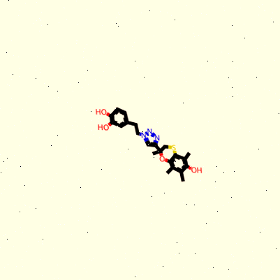 Cc1c(C)c2c(c(C)c1O)SCC(C)(c1cn(CCc3ccc(O)c(O)c3)nn1)O2